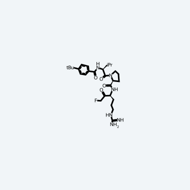 CC(C)[C@H](NC(=O)c1ccc(C(C)(C)C)cc1)C(=O)N1CCC[C@H]1C(=O)N[C@@H](CCCNC(=N)N)C(=O)CF